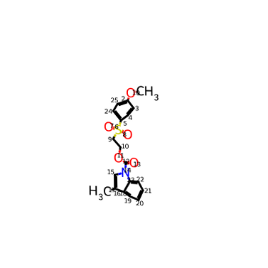 COc1ccc(S(=O)(=O)CCOC(=O)n2cc(C)c3ccccc32)cc1